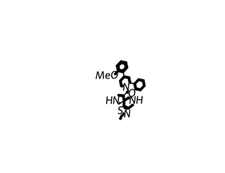 COc1ccccc1[C@@H]1CCN(C(=O)[C@@H]2CNC[C@]23CNCc2nc(C)sc23)[C@H](C2CCCCC2)C1